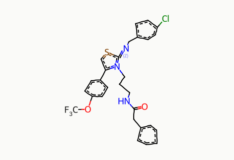 O=C(Cc1ccccc1)NCCCn1c(-c2ccc(OC(F)(F)F)cc2)cs/c1=N\Cc1ccc(Cl)cc1